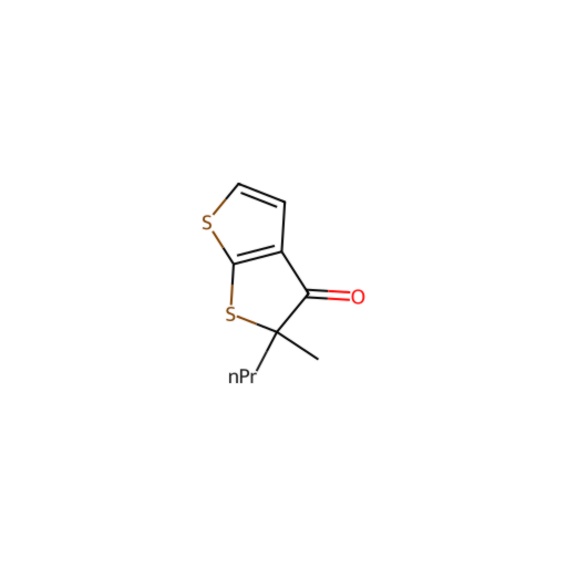 CCCC1(C)Sc2sccc2C1=O